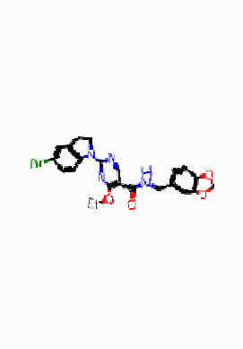 CCOc1nc(N2CCc3cc(Br)ccc32)ncc1C(=O)NCc1ccc2c(c1)OCO2